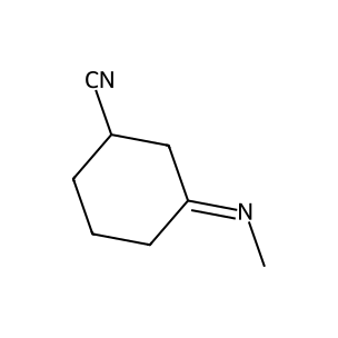 C/N=C1\CCCC(C#N)C1